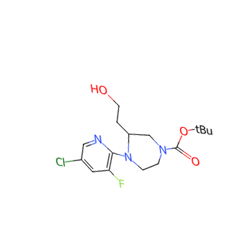 CC(C)(C)OC(=O)N1CCN(c2ncc(Cl)cc2F)C(CCO)C1